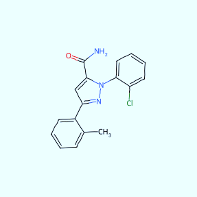 Cc1ccccc1-c1cc(C(N)=O)n(-c2ccccc2Cl)n1